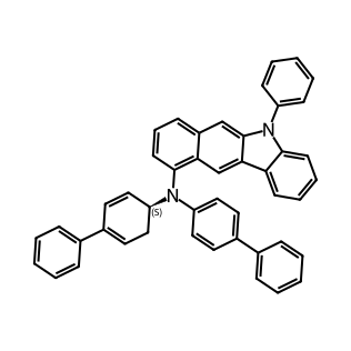 C1=C[C@@H](N(c2ccc(-c3ccccc3)cc2)c2cccc3cc4c(cc23)c2ccccc2n4-c2ccccc2)CC=C1c1ccccc1